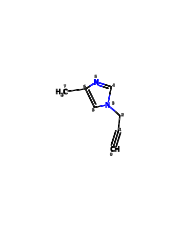 C#CCn1cnc(C)c1